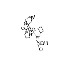 O=CN(O)C[C@@H](CC1CCC1)C(=O)N1CCC[C@H]1C(=O)Nc1cnccn1